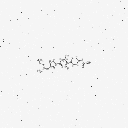 CCCC(C)Oc1nc(-c2cc(F)c(N3CCC(CC(=O)O)CC3)c(F)c2)cs1